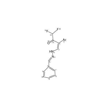 CC(=O)/C(=C/N/N=C/c1ccccc1)C(=O)C(F)F